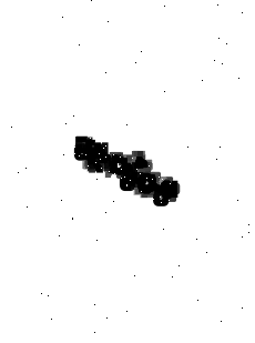 CCOc1cnc(N2CCC(N(C(=O)c3ccc(-c4cnco4)cc3)C3CC3)CC2)nc1